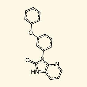 O=c1[nH]c2cccnc2n1-c1cccc(Oc2ccccc2)c1